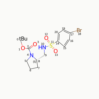 CC(C)(C)OC(=O)N1CCC[C@H]1CNS(=O)(=O)c1ccc(Br)cc1